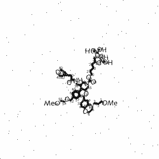 COCCCN1CCOC2CCC(COC3CN(C(=O)OCCCCC(CON(O)O)ON(O)O)CC(CNC(=O)CC4C5COCC54)C3c3ccc(COCCOC)cc3)CC21